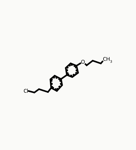 CCCCOc1ccc(-c2ccc(CCCCl)cc2)cc1